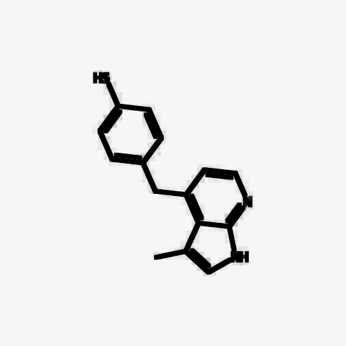 Cc1c[nH]c2nccc(Cc3ccc(S)cc3)c12